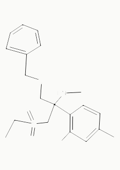 CCS(=O)(=O)CC(COCc1ccccc1)(NC)c1ccc(C)cc1F